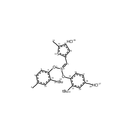 Cc1ccc([O][Ti](=[CH]c2ccc(C)s2)[O]c2ccc(C)cc2C(C)(C)C)c(C(C)(C)C)c1.Cl.Cl